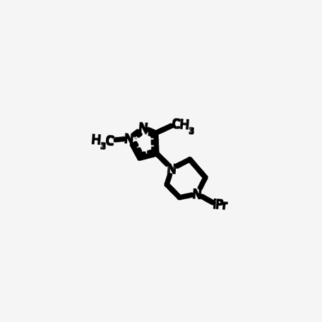 Cc1nn(C)cc1N1CCN(C(C)C)CC1